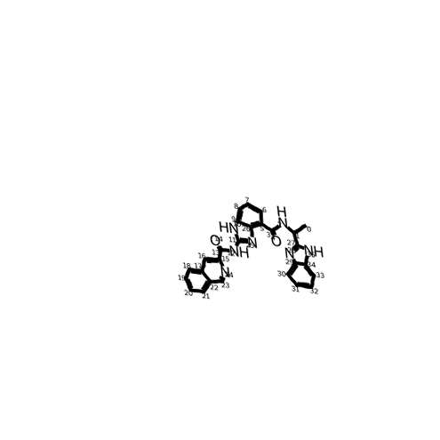 CC(NC(=O)c1cccc2[nH]c(NC(=O)c3cc4ccccc4cn3)nc12)c1nc2ccccc2[nH]1